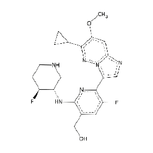 COc1cc2ncc(-c3nc(N[C@H]4CNCC[C@@H]4F)c(CO)cc3F)n2nc1C1CC1